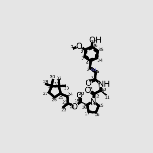 COc1cc(/C=C/C(=O)N[C@@H](C)C(=O)N2CCC[C@H]2C(=O)OC(C)CC2CCC(C)(C)C2(C)C)ccc1O